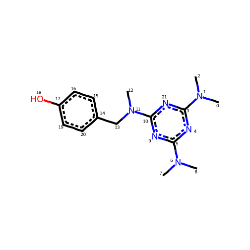 CN(C)c1nc(N(C)C)nc(N(C)Cc2ccc(O)cc2)n1